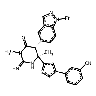 CCn1ncc2cc([C@H]3C(=O)N(C)C(=N)N[C@]3(C)c3cc(-c4cccc(C#N)c4)cs3)ccc21